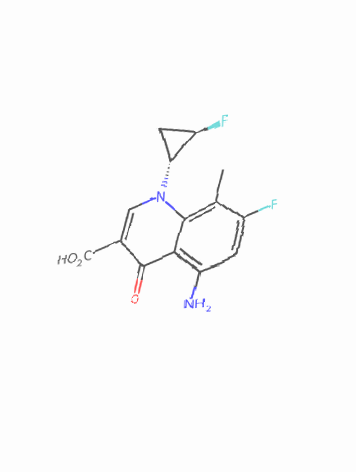 Cc1c(F)cc(N)c2c(=O)c(C(=O)O)cn([C@@H]3C[C@H]3F)c12